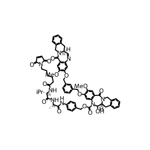 COc1cc2c(cc1OCc1cccc(COc3cc4c(cc3OC)C(=O)N3Cc5ccccc5C[C@H]3C(O)N4C(=O)OCc3ccc(NC(=O)[C@H](C)NC(=O)[C@@H](NC(=O)CCCCCN4C(=O)C=CC4=O)C(C)C)cc3)c1)N=C[C@@H]1Cc3ccccc3CN1C2=O